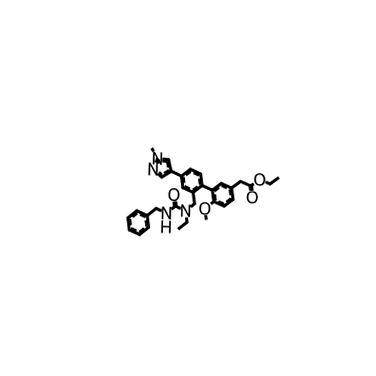 CCOC(=O)Cc1ccc(OC)c(-c2ccc(-c3cnn(C)c3)cc2CN(CC)C(=O)NCc2ccccc2)c1